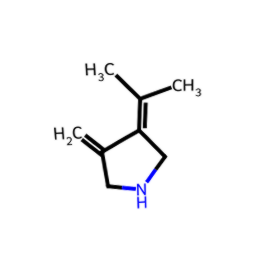 C=C1CNCC1=C(C)C